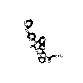 C=CC(=O)N[C@H]1CCCC[C@H]1NC(=O)c1sc2nccc3c2c1NC(=O)N3c1ccc(Oc2cccnn2)cn1